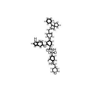 Cc1cc(S(=O)(=O)NC(=O)c2ccc(N3CCC(CN4CC5(CCCC5)C4c4ccccc4)CC3)cc2Oc2cnc3[nH]ccc3c2)ccc1NCC1CCOCC1